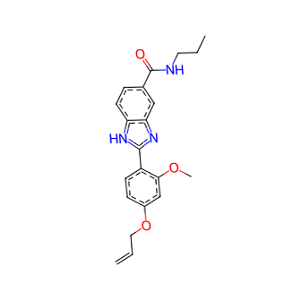 C=CCOc1ccc(-c2nc3cc(C(=O)NCCC)ccc3[nH]2)c(OC)c1